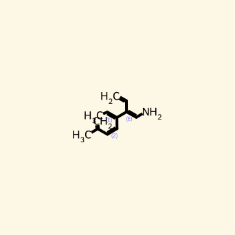 C=CC(=C\N)/C(/C=C\C(=C)C)=C/C